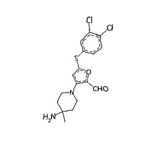 CC1(N)CCN(c2cc(Sc3ccc(Cl)c(Cl)c3)oc2C=O)CC1